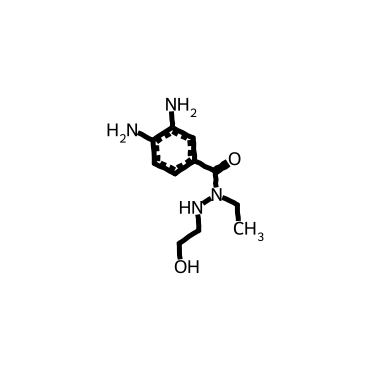 CCN(NCCO)C(=O)c1ccc(N)c(N)c1